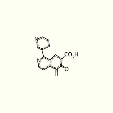 O=C(O)c1cc2c(-c3cccnc3)nccc2[nH]c1=O